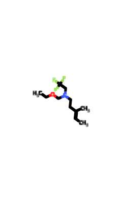 C/C=C(\C)CCN(COCC)CC(F)(F)F